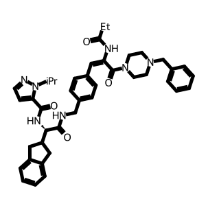 CCC(=O)N/C(=C/c1ccc(CNC(=O)[C@@H](NC(=O)c2ccnn2C(C)C)C2Cc3ccccc3C2)cc1)C(=O)N1CCN(Cc2ccccc2)CC1